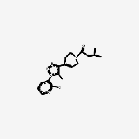 Cc1c(C2=CCN(C(=O)CC(C)C)CC2)nnn1-c1cccnc1Cl